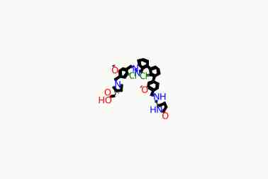 COc1cc(-c2cccc(-c3cccc4c3cnn4Cc3cc(OC)c(CN4CC[C@H](CC(=O)O)C4)cc3Cl)c2Cl)ccc1CNC[C@@H]1CCC(=O)N1